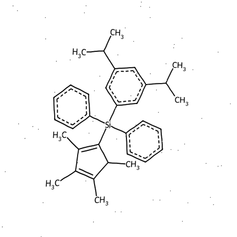 CC1=C(C)C(C)C([Si](c2ccccc2)(c2ccccc2)c2cc(C(C)C)cc(C(C)C)c2)=C1C